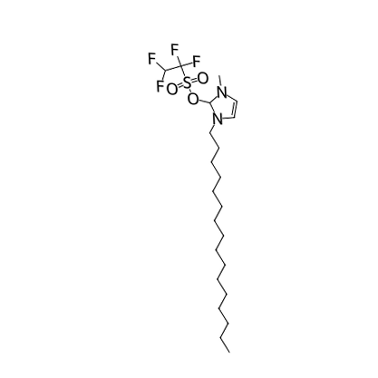 CCCCCCCCCCCCCCCCN1C=CN(C)C1OS(=O)(=O)C(F)(F)C(F)F